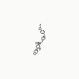 C=CCOc1ccc(CN2CC3C(CNc4ccc(N5CCOCC5)c(F)c4)C3C2)cc1